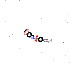 O=C(O)c1ccc(S(=O)(=O)NCc2ccc3c(c2)OCCO3)cc1